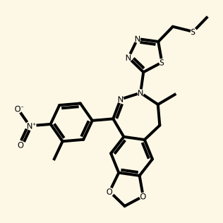 CSCc1nnc(N2N=C(c3ccc([N+](=O)[O-])c(C)c3)c3cc4c(cc3CC2C)OCO4)s1